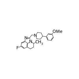 COc1cccc(C2CCN(Cc3nc4cc(F)cc5c4n3C(C)CC5)CC2)c1